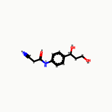 N#CCC(=O)Nc1ccc(C(O)CCO)cc1